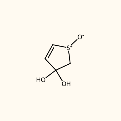 [O-][S+]1C=CC(O)(O)C1